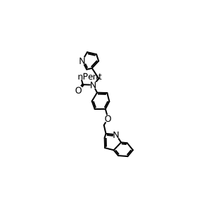 CCCCCC(=O)N(Cc1cccnc1)c1ccc(OCc2ccc3ccccc3n2)cc1